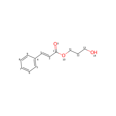 O=C(/C=C/c1ccccc1)OCCCO